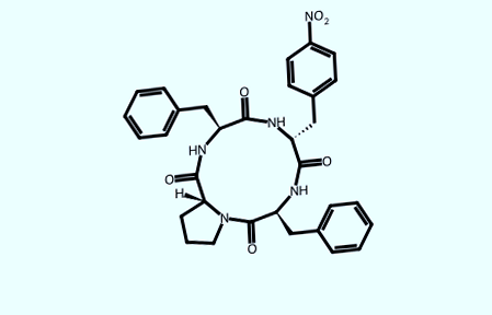 O=C1N[C@H](Cc2ccc([N+](=O)[O-])cc2)C(=O)N[C@@H](Cc2ccccc2)C(=O)N2CCC[C@@H]2C(=O)N[C@H]1Cc1ccccc1